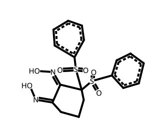 O=S(=O)(c1ccccc1)C1(S(=O)(=O)c2ccccc2)CCCC(=NO)C1=NO